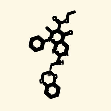 CCOC(=O)c1c(C)n(-c2ccccc2)c2nc(NC[C@H]3COc4ccccc4O3)ncc2c1=O